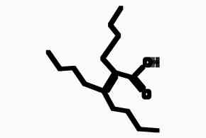 CCCCC(CCCC)=C(CCCC)C(=O)O